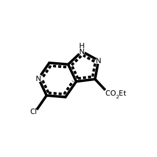 CCOC(=O)c1n[nH]c2cnc(Cl)cc12